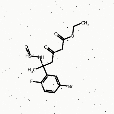 CCOC(=O)CC(=O)CC(C)(N[SH]=O)c1cc(Br)ccc1F